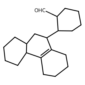 O=CC1CCCCC1C1CC2CCCCC2C2=C1CCCC2